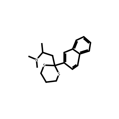 CC(CC1(c2ccc3ccccc3c2)SCCCS1)N(C)C